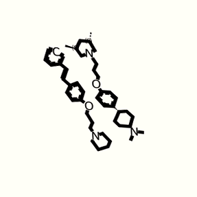 C(=Cc1ccc(OCCCN2CCCCC2)cc1)c1ccccc1.C[C@H]1C[C@H](C)CN(CCCOc2ccc([C@H]3CC[C@H](N(C)C)CC3)cc2)C1